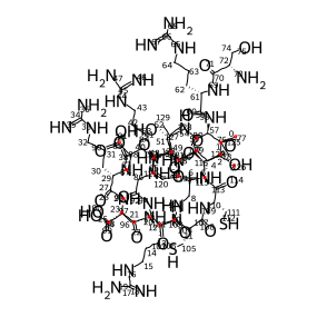 CC[C@H](C)[C@H](NC(=O)CNC(=O)[C@H](CCCNC(=N)N)NC(=O)[C@H](CO)NC(=O)[C@H](CCCNC(=N)N)NC(=O)[C@H](CCCNC(=N)N)NC(=O)[C@H](CO)NC(=O)[C@@H](NC(=O)[C@H](CCCNC(=N)N)NC(=O)[C@@H](N)CO)C(C)C)C(=O)N[C@H](C(=O)N[C@@H](CCC(=O)O)C(=O)N[C@@H](CCC(=O)O)C(=O)N[C@@H](CS)C(=O)N[C@@H](CS)C(=O)N[C@@H](Cc1ccccc1)C(=O)O)C(C)C